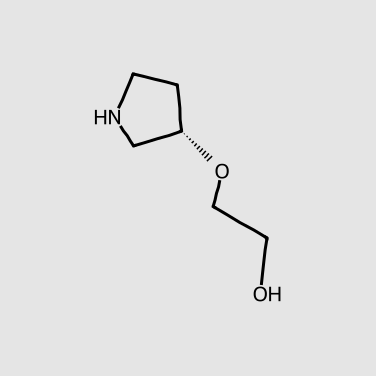 OCCO[C@H]1CCNC1